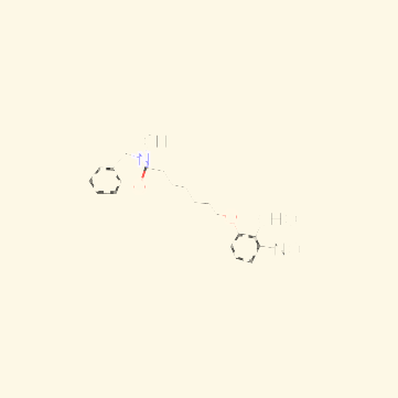 CN(Cc1ccccc1)C(=O)CCCCCCOc1cccc([N+](=O)[O-])c1C=O